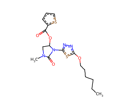 CCCCCCOc1nnc(N2C(=O)N(C)CC2OC(=O)c2cccs2)s1